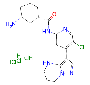 Cl.Cl.Cl.N[C@@H]1CCC[C@H](C(=O)Nc2cc(-c3cnn4c3NCCC4)c(Cl)cn2)C1